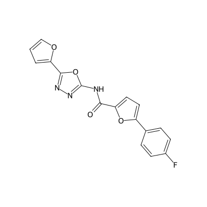 O=C(Nc1nnc(-c2ccco2)o1)c1ccc(-c2ccc(F)cc2)o1